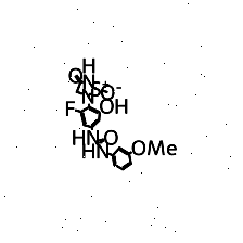 COc1cccc(NC(=O)Nc2cc(O)c(N3CC(=O)N[S+]3[O-])c(F)c2)c1